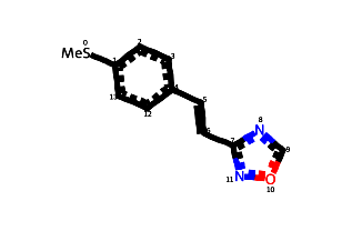 CSc1ccc(C=Cc2ncon2)cc1